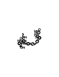 C=CCNC(=O)c1cnc(Nc2ccc(N3CCN(CC4CCN(c5cccc6c5n(C)c(=O)n6C5CCC(=O)NC5=O)CC4)CC3)cc2)nc1Nc1cccc(C(C)(C)O)n1